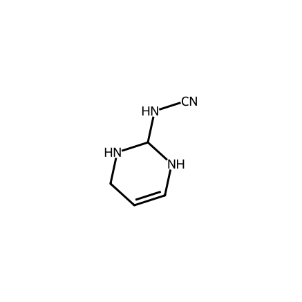 N#CNC1NC=CCN1